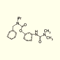 CC(C)N(Cc1ccccc1)C(=O)Oc1cccc(NC(=O)N(C)C)c1